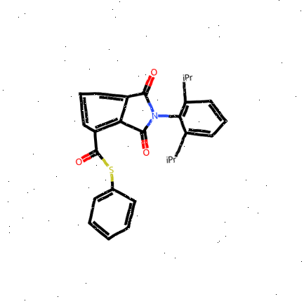 CC(C)c1cccc(C(C)C)c1N1C(=O)c2cccc(C(=O)Sc3ccccc3)c2C1=O